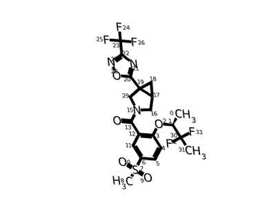 C[C@H](Oc1ccc(S(C)(=O)=O)cc1C(=O)N1CC2CC2(c2nc(C(F)(F)F)no2)C1)C(C)(F)F